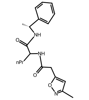 CCCC(NC(=O)Cc1cc(C)no1)C(=O)N[C@H](C)c1ccccc1